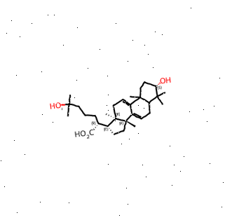 CC(C)(O)CCC[C@@H](C(=O)O)[C@H]1CC[C@@]2(C)C3=CCC4C(C)(CC[C@H](O)C4(C)C)C3=CC[C@]12C